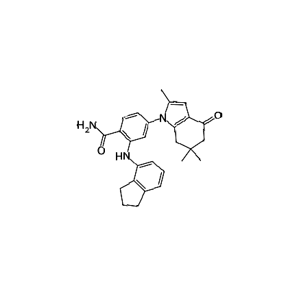 Cc1cc2c(n1-c1ccc(C(N)=O)c(Nc3cccc4c3CCC4)c1)CC(C)(C)CC2=O